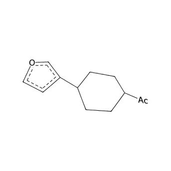 CC(=O)C1CCC(c2ccoc2)CC1